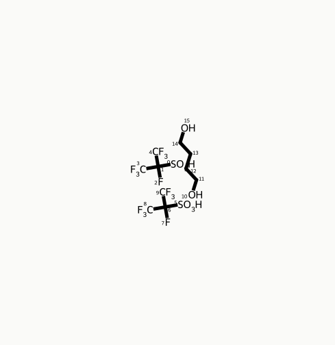 O=S(=O)(O)C(F)(C(F)(F)F)C(F)(F)F.O=S(=O)(O)C(F)(C(F)(F)F)C(F)(F)F.OCCCCO